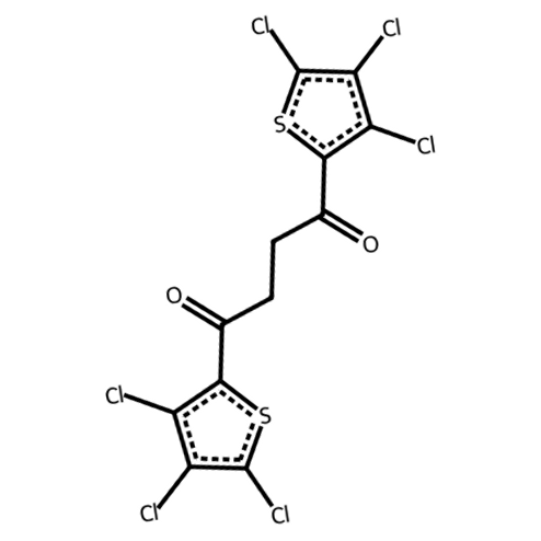 O=C(CCC(=O)c1sc(Cl)c(Cl)c1Cl)c1sc(Cl)c(Cl)c1Cl